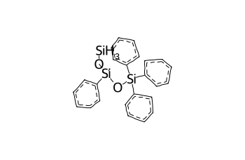 C[Si](O[SiH3])(O[Si](c1ccccc1)(c1ccccc1)c1ccccc1)c1ccccc1